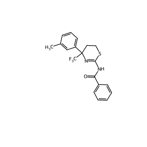 Cc1cccc(C2(C(F)(F)F)CCSC(NC(=O)c3ccccc3)=N2)c1